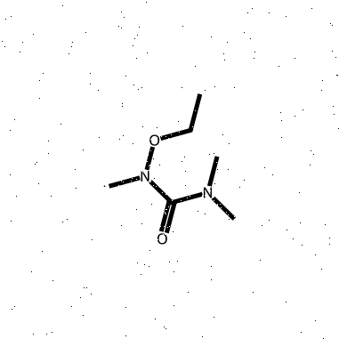 [CH2]N(OCC)C(=O)N(C)C